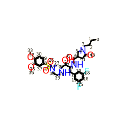 CCCCN1CC(C(=O)NC(Cc2cc(F)cc(F)c2)[C@H](O)[C@H]2CN(S(=O)(=O)c3ccc(OC)c(OC)c3)CCN2)CC1=O